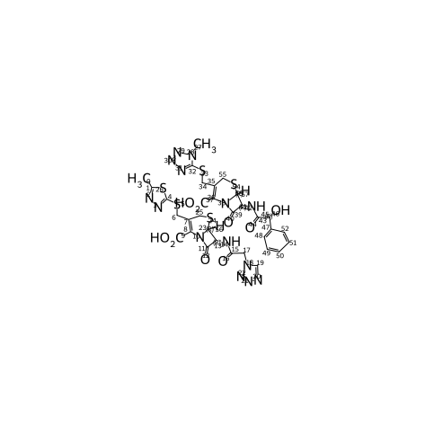 Cc1nnc(SCC2=C(C(=O)O)N3C(=O)[C@@H](NC(=O)Cn4cnnn4)[C@H]3SC2)s1.Cn1nnnc1SCC1=C(C(=O)O)N2C(=O)[C@@H](NC(=O)[C@H](O)c3ccccc3)[C@H]2SC1